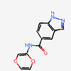 O=C(NC1=COC=CO1)c1ccc2[nH]ncc2c1